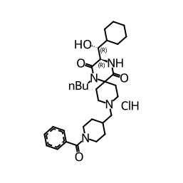 CCCCN1C(=O)[C@@H]([C@H](O)C2CCCCC2)NC(=O)C12CCN(CC1CCN(C(=O)c3ccccc3)CC1)CC2.Cl